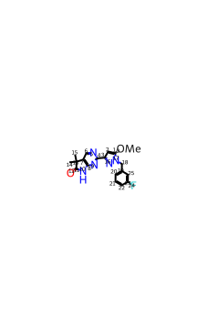 COc1cc(-c2ncc3c(n2)NC(=O)C3(C)C)nn1Cc1cccc(F)c1